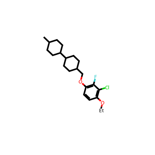 CCOc1ccc(OCC2CCC(C3CCC(C)CC3)CC2)c(F)c1Cl